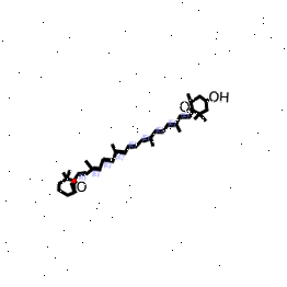 CC(/C=C/C=C(C)/C=C/C12OC1(C)CCCC2(C)C)=C\C=C\C=C(C)\C=C\C=C(C)\C=C\C12OC1(C)CC(O)CC2(C)C